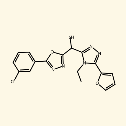 CCn1c(-c2ccco2)nnc1C(S)c1nnc(-c2cccc(Cl)c2)o1